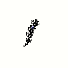 CCCc1cnc(-c2ccc(-c3ccc(/C(F)=C(\F)c4cc(F)c(F)c(F)c4)c(F)c3)c(F)c2)nc1